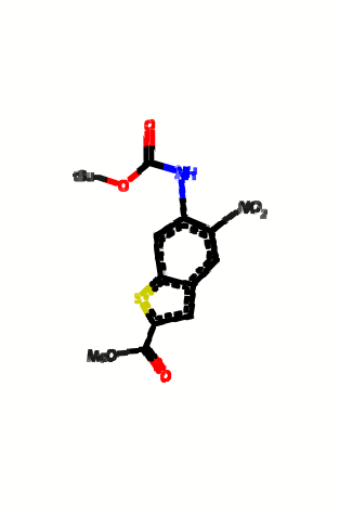 COC(=O)c1cc2cc([N+](=O)[O-])c(NC(=O)OC(C)(C)C)cc2s1